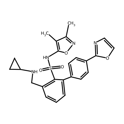 Cc1noc(NS(=O)(=O)c2c(CNC3CC3)cccc2-c2ccc(-c3ncco3)cc2)c1C